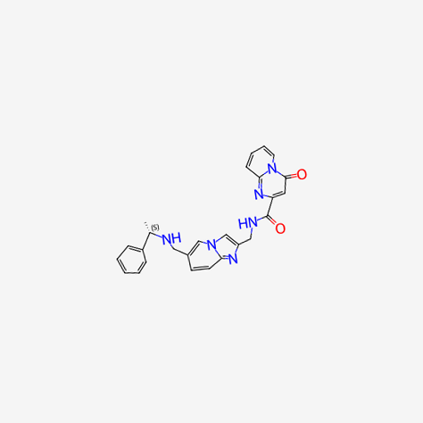 C[C@H](NCc1ccc2nc(CNC(=O)c3cc(=O)n4ccccc4n3)cn2c1)c1ccccc1